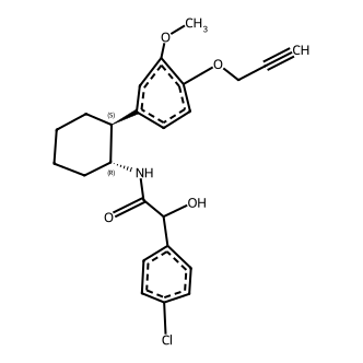 C#CCOc1ccc([C@@H]2CCCC[C@H]2NC(=O)C(O)c2ccc(Cl)cc2)cc1OC